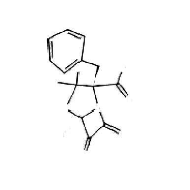 CC1(C)S[C@@H]2C(=O)C(=O)N2[C@@]1(Cc1ccccc1)C(=O)O